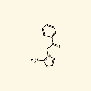 Nc1scc[n+]1CC(=O)c1ccccc1